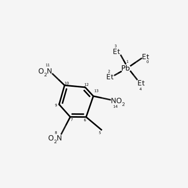 C[CH2][Pb]([CH2]C)([CH2]C)[CH2]C.Cc1c([N+](=O)[O-])cc([N+](=O)[O-])cc1[N+](=O)[O-]